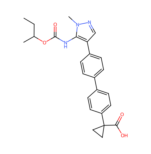 CCC(C)OC(=O)Nc1c(-c2ccc(-c3ccc(C4(C(=O)O)CC4)cc3)cc2)cnn1C